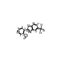 COc1cnccc1C1=Nc2cc(C(C)(C)C)ccc2C1